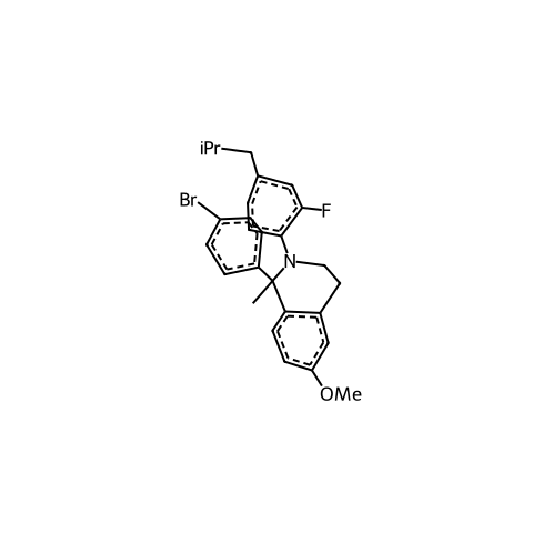 COc1ccc2c(c1)CCN(c1ccc(CC(C)C)cc1F)C2(C)c1ccc(Br)cc1